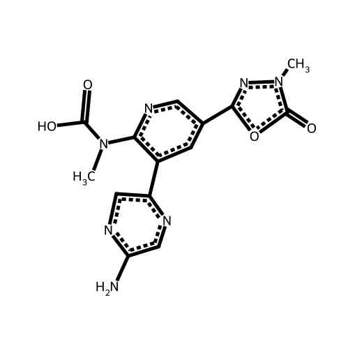 CN(C(=O)O)c1ncc(-c2nn(C)c(=O)o2)cc1-c1cnc(N)cn1